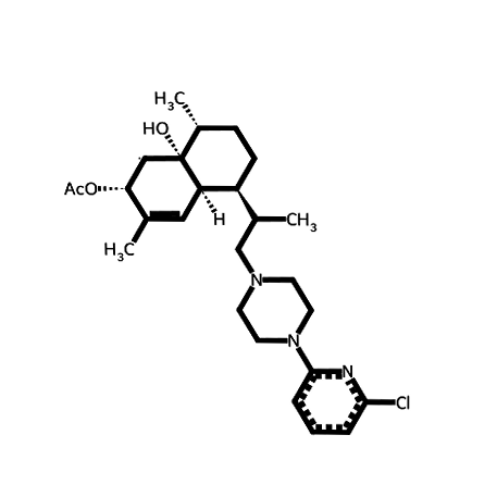 CC(=O)O[C@@H]1[CH][C@@]2(O)[C@H](C)CC[C@@H](C(C)CN3CCN(c4cccc(Cl)n4)CC3)[C@H]2C=C1C